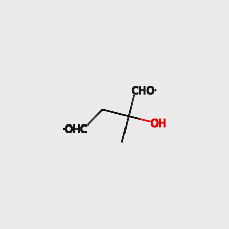 CC(O)([C]=O)C[C]=O